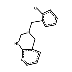 Clc1ccccc1CN1CNc2ncccc2C1